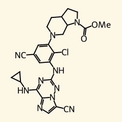 COC(=O)N1CCC2CCN(c3cc(C#N)cc(Nc4nc(NC5CC5)c5ncc(C#N)n5n4)c3Cl)CC21